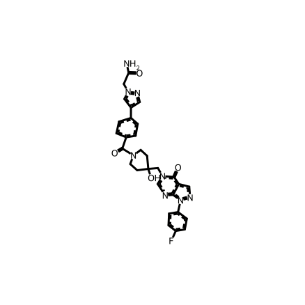 NC(=O)Cn1cc(-c2ccc(C(=O)N3CCC(O)(Cn4cnc5c(cnn5-c5ccc(F)cc5)c4=O)CC3)cc2)cn1